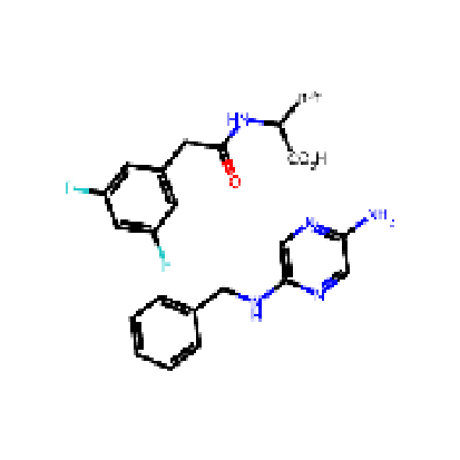 CCCC(NC(=O)Cc1cc(F)cc(F)c1)C(=O)O.Nc1cnc(NCc2ccccc2)cn1